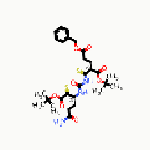 CC(C)(C)OC(=O)C(=S)[C@H](CCC(N)=O)NC(=O)NC(=S)[C@@H](CCC(=O)OCc1ccccc1)C(=O)OC(C)(C)C